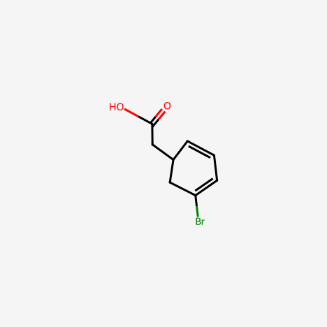 O=C(O)CC1C=CC=C(Br)C1